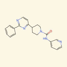 O=C(Nc1cccnc1)N1CCC(c2ccnc(-c3ccccc3)n2)CC1